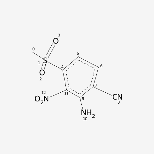 CS(=O)(=O)c1ccc(C#N)c(N)c1[N+](=O)[O-]